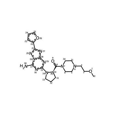 COCCN1CCN(C(=O)[C@H]2CCCN2c2nc(N)n3nc(-c4ccco4)nc3n2)CC1